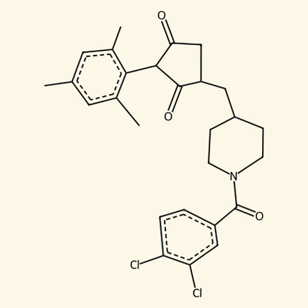 Cc1cc(C)c(C2C(=O)CC(CC3CCN(C(=O)c4ccc(Cl)c(Cl)c4)CC3)C2=O)c(C)c1